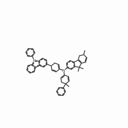 CC1C=CC2=C(C1)c1ccc(N(C3=CCC(c4ccc5c(c4)c4ccccc4n5-c4ccccc4)C=C3)C3=CCC(C)(c4ccccc4)C=C3)cc1C2(C)C